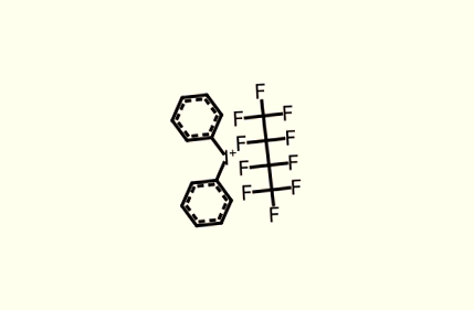 FC(F)(F)C(F)(F)C(F)(F)C(F)(F)F.c1ccc([I+]c2ccccc2)cc1